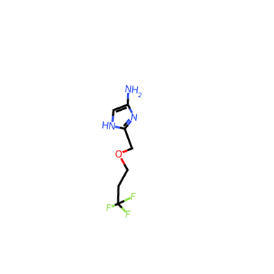 Nc1c[nH]c(COCCC(F)(F)F)n1